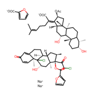 CC(=O)O[C@H]1C[C@@]2(C)[C@H](C[C@@H](O)C3[C@@]4(C)CC[C@@H](O)[C@@H](C)C4CC[C@@]32C)C1=C(CCC=C(C)C)C(=O)[O-].C[C@@H]1C[C@H]2[C@@H]3CCC4=CC(=O)C=C[C@]4(C)C3(Cl)[C@@H](O)C[C@]2(C)[C@@]1(OC(=O)c1ccco1)C(=O)CCl.O=C([O-])c1ccco1.[Na+].[Na+]